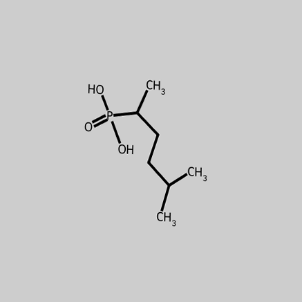 CC(C)CCC(C)P(=O)(O)O